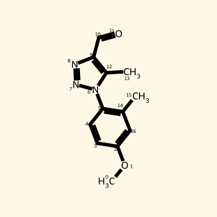 COc1ccc(-n2nnc(C=O)c2C)c(C)c1